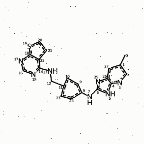 Cc1cnc2[nH]c(Nc3ccc(CNc4ncnc5sccc45)cc3)nc2c1